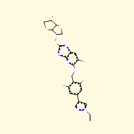 CCn1cc(-c2cc(F)c(CNc3nc4nc(O[C@@H]5CO[C@H]6[C@@H]5OC[C@H]6O)[nH]c4cc3Cl)c(F)c2)cn1